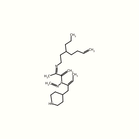 C=CCCC(CCC)CC/N=C(/C)C(=C)N(N=C)/C(=C\C)CC1CCNCC1